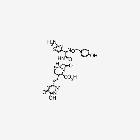 Cn1nc(O)c(=O)nc1SCC1=C(C(=O)O)N2C(=O)[C@@H](NC(=O)/C(=N\OCc3ccc(O)cc3)c3csc(N)n3)[C@@H]2SC1